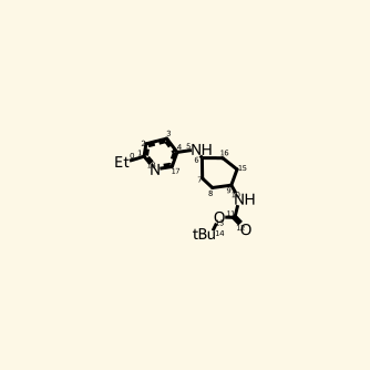 CCc1ccc(NC2CCC(NC(=O)OC(C)(C)C)CC2)cn1